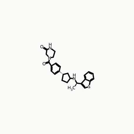 C[C@@H](NC1CC[C@H](c2ccc(C(=O)N3CCNC(=O)C3)cc2)C1)c1csc2ccccc12